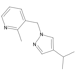 Cc1ncccc1Cn1cc(C(C)C)cn1